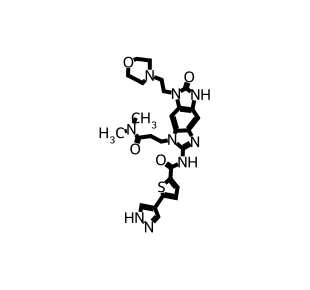 CN(C)C(=O)CCn1c(NC(=O)c2ccc(-c3cn[nH]c3)s2)nc2cc3[nH]c(=O)n(CCN4CCOCC4)c3cc21